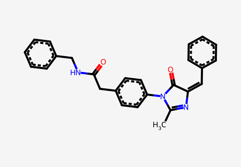 CC1=NC(=Cc2ccccc2)C(=O)N1c1ccc(CC(=O)NCc2ccccc2)cc1